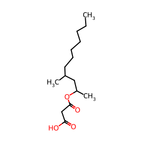 CCCCCCCC(C)CC(C)OC(=O)CC(=O)O